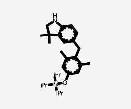 Cc1cc(O[Si](C(C)C)(C(C)C)C(C)C)cc(C)c1Cc1ccc2c(c1)C(C)(C)CN2